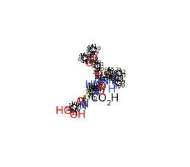 O=C(O)C1=C(CSc2nnc(-c3ccc(O)c(O)c3)o2)CS[C@H]2[C@H](NC(=O)C(=NOCc3cccc(C(=O)OC(c4ccccc4)c4ccccc4)c3)c3csc(NC(c4ccccc4)(c4ccccc4)c4ccccc4)n3)C(=O)N12